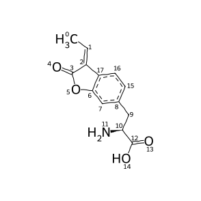 CC=C1C(=O)Oc2cc(C[C@H](N)C(=O)O)ccc21